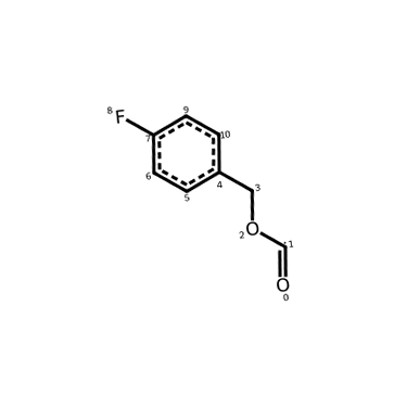 O=[C]OCc1ccc(F)cc1